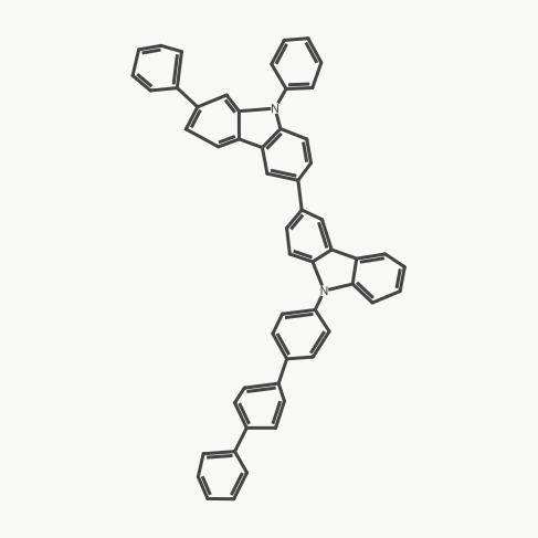 c1ccc(-c2ccc(-c3ccc(-n4c5ccccc5c5cc(-c6ccc7c(c6)c6ccc(-c8ccccc8)cc6n7-c6ccccc6)ccc54)cc3)cc2)cc1